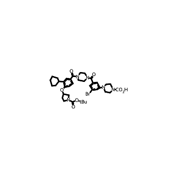 CC(C)(C)OC(=O)N1CCC(Oc2ccc(C(=O)N3CCN(C(=O)c4cc(Br)cc(N5CCN(C(=O)O)CC5)c4)CC3)cc2C2CCCCC2)C1